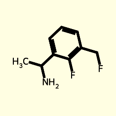 CC(N)c1cccc(CF)c1F